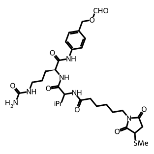 CSC1CC(=O)N(CCCCCC(=O)NC(C(=O)N[C@@H](CCCNC(N)=O)C(=O)Nc2ccc(COC=O)cc2)C(C)C)C1=O